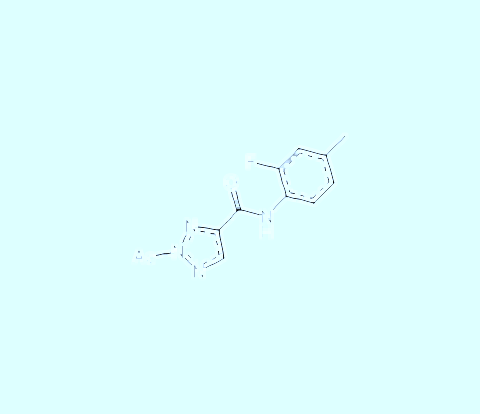 CC(=O)n1ncc(C(=O)Nc2ccc(C)cc2F)n1